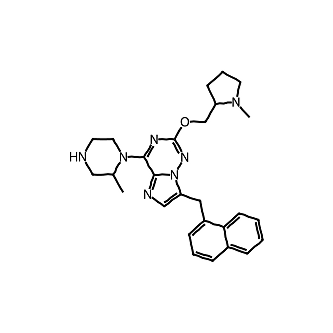 CC1CNCCN1c1nc(OCC2CCCN2C)nn2c(Cc3cccc4ccccc34)cnc12